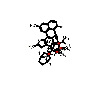 Cc1cc(-c2c(F)c3nc(Cl)nc(N4C[C@H]5CC[C@@H](C4)N5C(=O)OC(C)(C)C)c3c3cc(C)oc23)c2c(C#C[Si](C(C)C)(C(C)C)C(C)C)c(F)ccc2c1